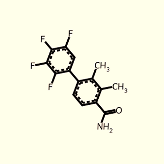 Cc1c(C(N)=O)ccc(-c2cc(F)c(F)c(F)c2F)c1C